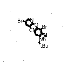 CC(C)(C)Cn1nnc2c(Br)c(Oc3ncc(Br)cc3C#N)ccc21